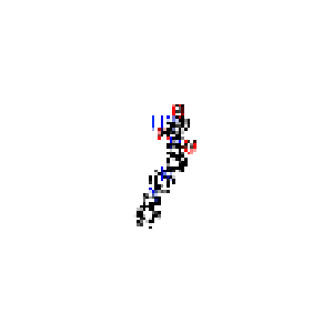 CN(Cc1ccccc1)C1CCN(c2ccc3c(c2)CN(C2CCC(=O)NC2=O)C3=O)CC1